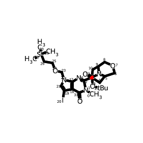 Cn1c(N2CC3COCC(C2)N3C(=O)OC(C)(C)C)nc2c(c(I)cn2COCC[Si](C)(C)C)c1=O